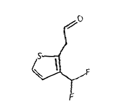 O=CCc1sccc1C(F)F